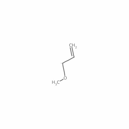 C=C[CH]OC